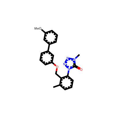 COc1cccc(-c2cccc(OCc3c(C)cccc3-n3nnn(C)c3=O)c2)c1